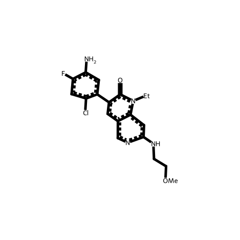 CCn1c(=O)c(-c2cc(N)c(F)cc2Cl)cc2cnc(NCCOC)cc21